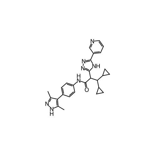 Cc1n[nH]c(C)c1-c1ccc(NC(=O)C(c2nnc(-c3cccnc3)[nH]2)C(C2CC2)C2CC2)cc1